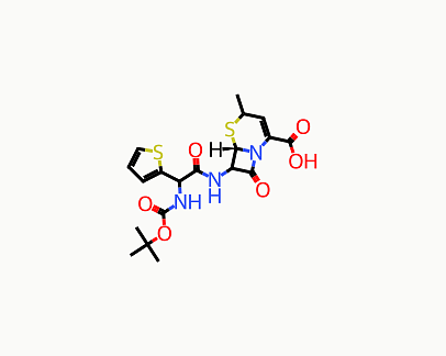 CC1C=C(C(=O)O)N2C(=O)C(NC(=O)C(NC(=O)OC(C)(C)C)c3cccs3)[C@@H]2S1